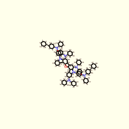 c1ccc(-c2ccc(N(c3ccccc3)c3ccc(-n4c5ccccc5c5c6oc7c(cc(N(c8ccccc8)c8ccccc8)c8c7c7ccc(N(c9ccccc9)c9ccccc9)cc7n8-c7ccc(N(c8ccccc8)c8ccc(-c9ccccc9)cc8)cc7)c6cc(N(c6ccccc6)c6ccccc6)c54)cc3)cc2)cc1